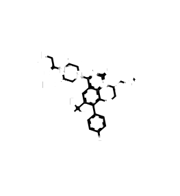 BCC(=O)N1[C@H](C)CN(c2nc(=O)n3c4c(c(-c5ccc(F)cc5)c(C(F)(F)F)cc24)SC[C@@H]3COC)C[C@@H]1C